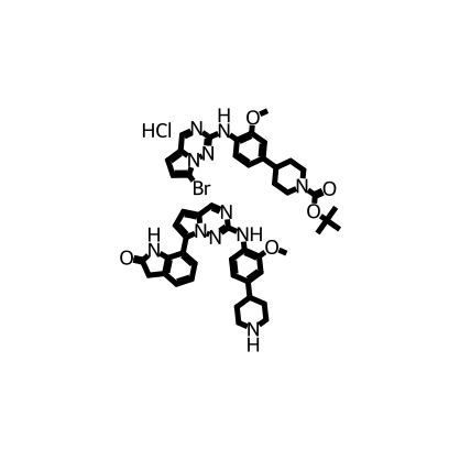 COc1cc(C2CCN(C(=O)OC(C)(C)C)CC2)ccc1Nc1ncc2ccc(Br)n2n1.COc1cc(C2CCNCC2)ccc1Nc1ncc2ccc(-c3cccc4c3NC(=O)C4)n2n1.Cl